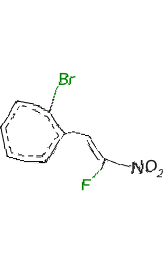 O=[N+]([O-])C(F)=Cc1ccccc1Br